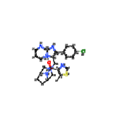 Cc1scnc1C(=O)N1C2CCC1CN(Cc1c(-c3ccc(Cl)cc3)nc3ncccn13)C2